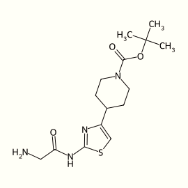 CC(C)(C)OC(=O)N1CCC(c2csc(NC(=O)CN)n2)CC1